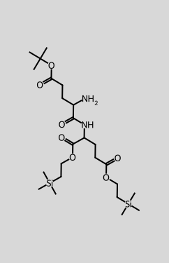 CC(C)(C)OC(=O)CCC(N)C(=O)NC(CCC(=O)OCC[Si](C)(C)C)C(=O)OCC[Si](C)(C)C